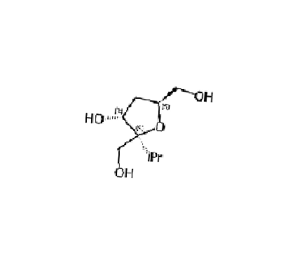 CC(C)[C@@]1(CO)O[C@H](CO)C[C@H]1O